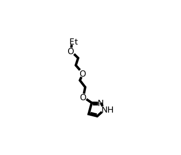 CCOCCOCCOc1cc[nH]n1